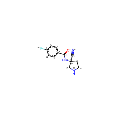 N#C[C@@]1(NC(=O)c2ccc(F)cc2)CCNC1